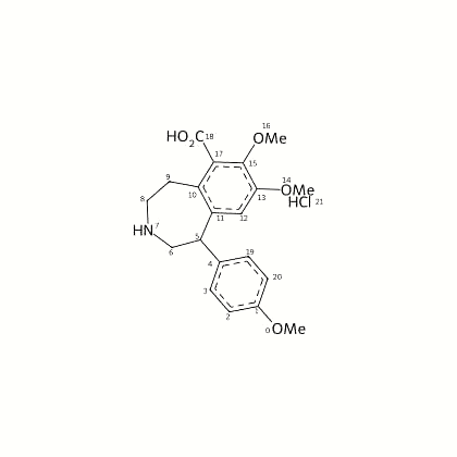 COc1ccc(C2CNCCc3c2cc(OC)c(OC)c3C(=O)O)cc1.Cl